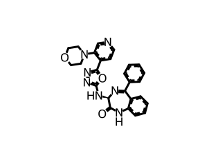 O=C1Nc2ccccc2C(c2ccccc2)=N[C@@H]1Nc1nnc(-c2ccncc2N2CCOCC2)o1